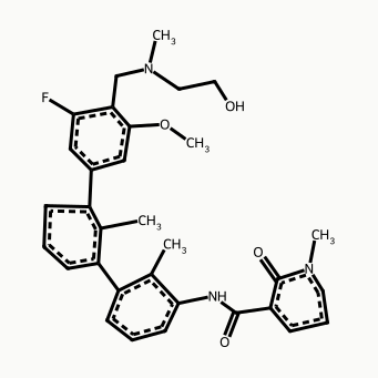 COc1cc(-c2cccc(-c3cccc(NC(=O)c4cccn(C)c4=O)c3C)c2C)cc(F)c1CN(C)CCO